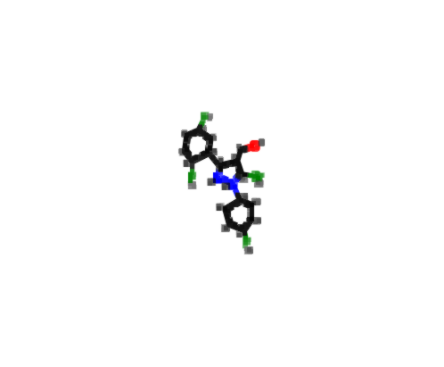 O=Cc1c(-c2cc(F)ccc2F)nn(-c2ccc(F)cc2)c1Br